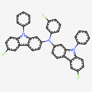 Fc1cccc(N(c2ccc3c4cc(F)ccc4n(-c4ccccc4)c3c2)c2ccc3c4cc(F)ccc4n(-c4ccccc4)c3c2)c1